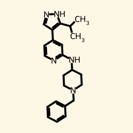 CC(C)c1[nH]ncc1-c1ccnc(NC2CCN(Cc3ccccc3)CC2)c1